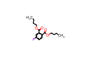 CCCCOC(=O)c1ccc(I)cc1C(=O)OCCCC